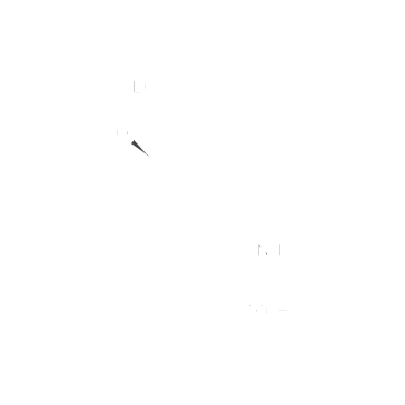 CCO[C@H]1CC[C@H](NC(=O)O)CC1